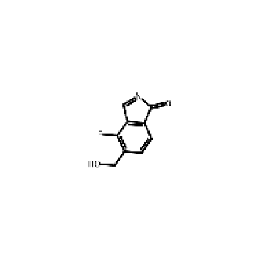 O=C1N=Cc2c1ccc(CO)c2F